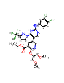 CCOC(=O)c1cc(-c2cnc(Nc3ccc(F)c(Cl)c3)nc2-n2ccc(C(F)(F)F)n2)cnc1OC(COC)COC